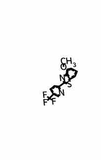 COc1cccc2sc(-c3ccc(C(F)(F)F)cn3)nc12